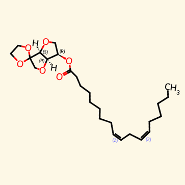 CCCCC/C=C\C/C=C\CCCCCCCC(=O)O[C@@H]1CO[C@H]2[C@@H]1OCC21OCCO1